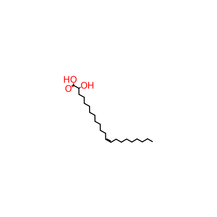 CCCCCCCC/C=C\CCCCCCCCCCC(O)C(=O)O